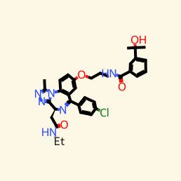 CCNC(=O)C[C@@H]1N=C(c2ccc(Cl)cc2)c2cc(OCCCNC(=O)c3cccc(C(C)(C)O)c3)ccc2-n2c(C)nnc21